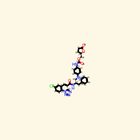 O=C(/C=C/c1cc(Cl)ccc1-n1cnnn1)N[C@H](CNc1ccc(NC(=O)OC[C@H]2CCC(=O)O2)cc1)Cc1ccccc1